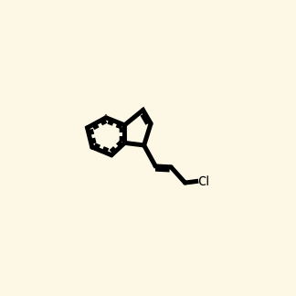 ClC/C=C/C1C=Cc2[c]cccc21